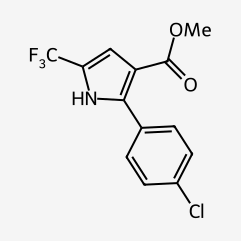 COC(=O)c1cc(C(F)(F)F)[nH]c1-c1ccc(Cl)cc1